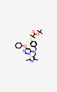 Cc1nc(C)c(CN(Cc2ccc(SC(C)(C)C(=O)OC(C)(C)C)cc2)c2cc(OC3CCCCC3)ncn2)s1